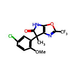 COc1ccc(Cl)cc1C1(C)C(=O)Nc2oc(C(F)(F)F)nc21